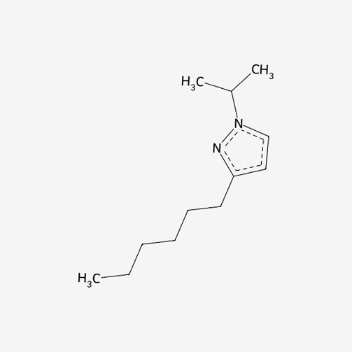 CCCCCCc1ccn(C(C)C)n1